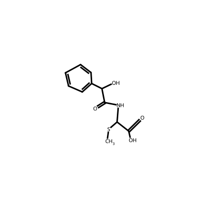 CSC(NC(=O)C(O)c1ccccc1)C(=O)O